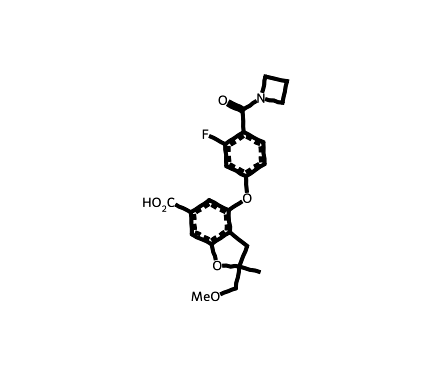 COCC1(C)Cc2c(Oc3ccc(C(=O)N4CCC4)c(F)c3)cc(C(=O)O)cc2O1